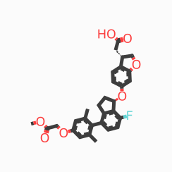 COC(=O)COc1cc(C)c(-c2ccc(F)c3c2CC[C@H]3Oc2ccc3c(c2)OC[C@H]3CC(=O)O)c(C)c1